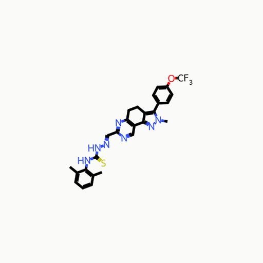 Cc1cccc(C)c1NC(=S)N/N=C/c1ncc2c(n1)CCc1c-2nn(C)c1-c1ccc(OC(F)(F)F)cc1